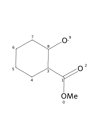 COC(=O)C1CCCCC1[O]